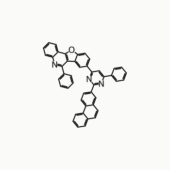 c1ccc(-c2cc(-c3ccc4oc5c6ccccc6nc(-c6ccccc6)c5c4c3)nc(-c3ccc4c(ccc5ccccc54)c3)n2)cc1